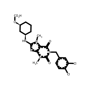 Cn1c(N[C@@H]2CCC[C@H](OC(=O)O)C2)nc2c1c(=O)n(Cc1ccc(Cl)c(Cl)c1)c(=O)n2C